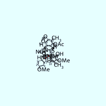 COc1ccc2[nH]c3c(c2c1)CCN[C@]31CS[C@@H]2c3c(OC(C)=O)c(C)c4c(c3[C@H](COC1=O)N1C2C2NC(Cc3cc(C)c(OC)c(O)c32)[C@@H]1C#N)OCO4